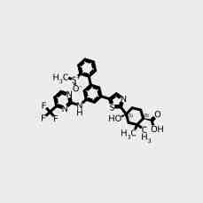 C[S+]([O-])c1ccccc1-c1cc(Nc2nccc(C(F)(F)F)n2)cc(-c2cnc([C@]3(O)CC[C@@H](C(=O)O)C(C)(C)C3)s2)c1